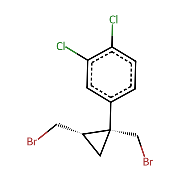 Clc1ccc([C@@]2(CBr)C[C@@H]2CBr)cc1Cl